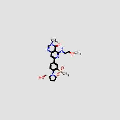 COCCNc1nc(-c2ccc(N3CCC[C@@H]3CO)c(S(C)(=O)=O)c2)cc2ncn(C)c(=O)c12